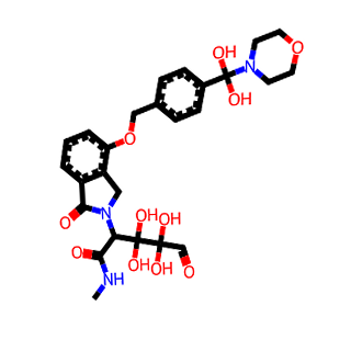 CNC(=O)C(N1Cc2c(OCc3ccc(C(O)(O)N4CCOCC4)cc3)cccc2C1=O)C(O)(O)C(O)(O)C=O